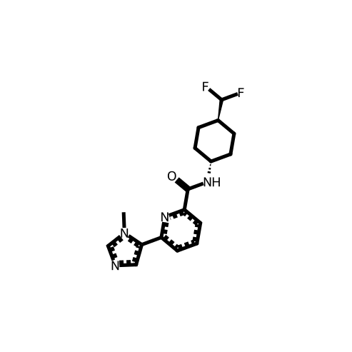 Cn1cncc1-c1cccc(C(=O)N[C@H]2CC[C@H](C(F)F)CC2)n1